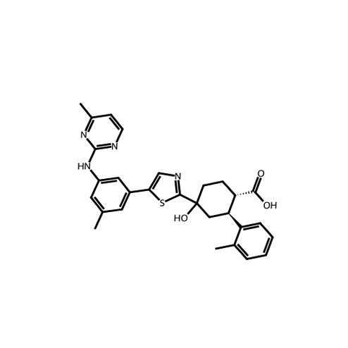 Cc1cc(Nc2nccc(C)n2)cc(-c2cnc(C3(O)CC[C@H](C(=O)O)[C@@H](c4ccccc4C)C3)s2)c1